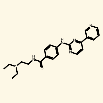 CCN(CC)CCNC(=O)c1ccc(Nc2nccc(-c3cccnc3)n2)cc1